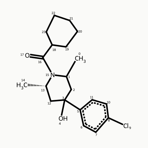 CC1CC(O)(c2ccc(Cl)cc2)C[C@H](C)N1C(=O)C1[CH]CCCC1